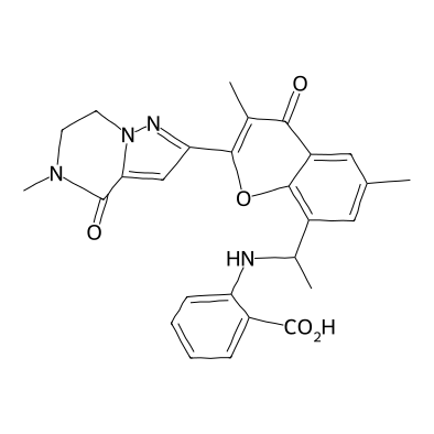 Cc1cc(C(C)Nc2ccccc2C(=O)O)c2oc(-c3cc4n(n3)CCN(C)C4=O)c(C)c(=O)c2c1